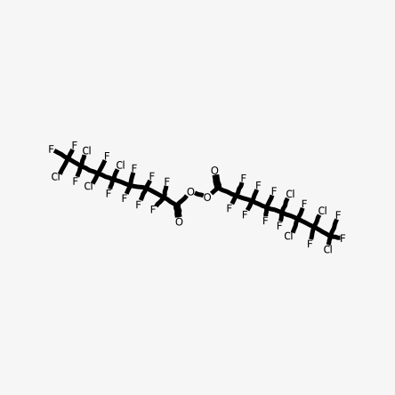 O=C(OOC(=O)C(F)(F)C(F)(F)C(F)(F)C(F)(Cl)C(F)(Cl)C(F)(Cl)C(F)(F)Cl)C(F)(F)C(F)(F)C(F)(F)C(F)(Cl)C(F)(Cl)C(F)(Cl)C(F)(F)Cl